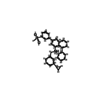 CS(=O)(=O)c1cncc(-c2nc(NCc3cccc(C4CC4)n3)c3c(-c4ccccc4)cccc3n2)c1